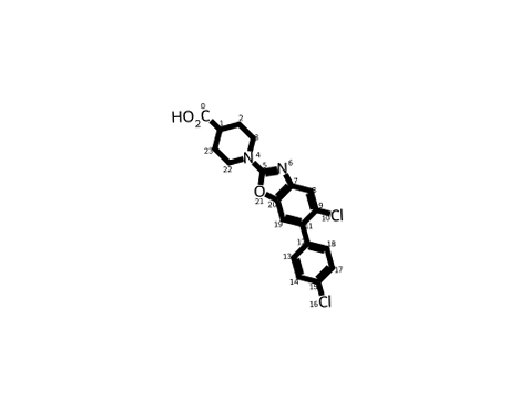 O=C(O)C1CCN(c2nc3cc(Cl)c(-c4ccc(Cl)cc4)cc3o2)CC1